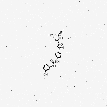 CC(C)[C@@H](NC(=O)c1cc(-c2ccc(NC(=O)Nc3cccc(C#N)c3)cc2)no1)C(=O)O